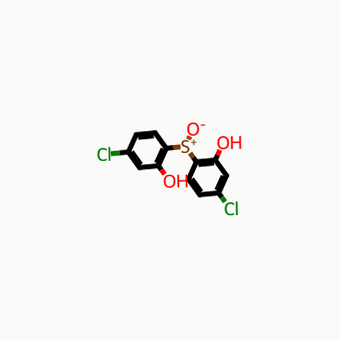 [O-][S+](c1ccc(Cl)cc1O)c1ccc(Cl)cc1O